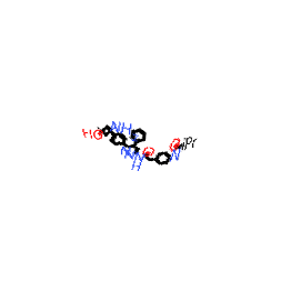 CC(C)C(=O)N(C)C1CCC(CC(=O)Nc2cc(-c3ccccc3)c(-c3ccc([C@]4(N)C[C@](C)(O)C4)cc3)nn2)CC1